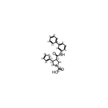 O=C(Nc1cccc(-c2ccccc2)c1)C1CN(C(=O)O)CC1c1cccs1